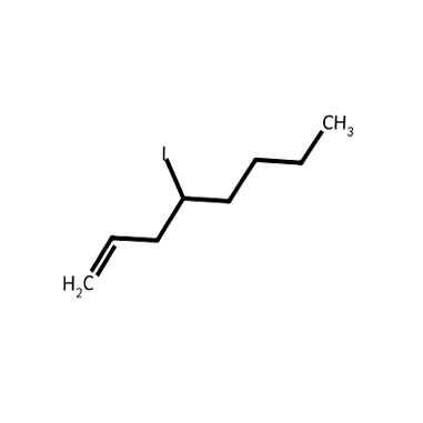 C=CCC(I)CCCC